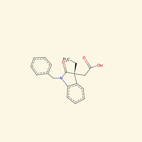 CC[C@]1(CC(=O)O)C(=O)N(Cc2ccccc2)c2ccccc21